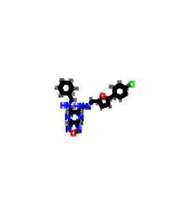 Clc1ccc(-c2ccc(C=NNc3nc4nonc4nc3NCc3ccccc3)o2)cc1